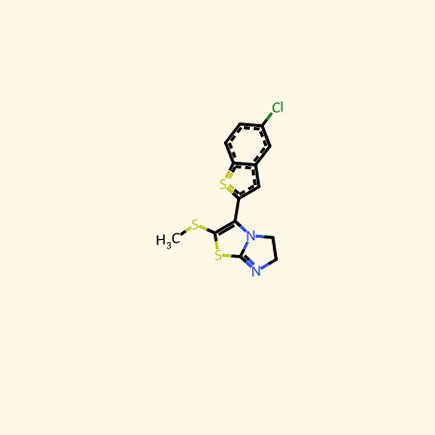 CSC1=C(c2cc3cc(Cl)ccc3s2)N2CCN=C2S1